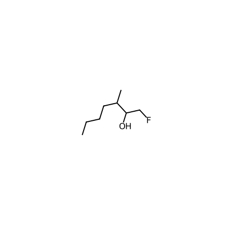 CCCCC(C)C(O)CF